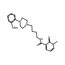 COc1ccccc1N1CCN(CCCCNC(=O)C2=CC=CC(C)C2=S)CC1